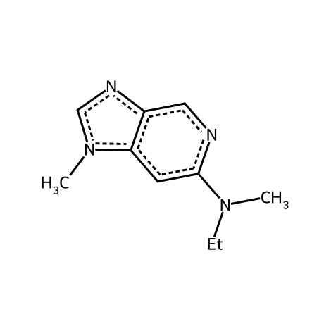 CCN(C)c1cc2c(cn1)ncn2C